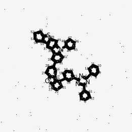 c1ccc(-c2nc(-c3ccccc3)nc(-c3cccc(-c4cccc5oc6ccc(-c7ccc8c(c7)c7cc9c(cc7n8-c7ccccc7)sc7ccccc79)cc6c45)c3)n2)cc1